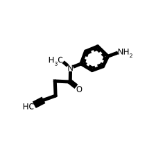 C#CCCC(=O)N(C)c1ccc(N)cc1